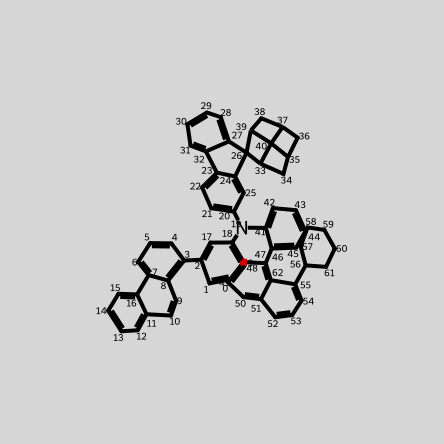 c1cc(-c2cccc3c2ccc2ccccc23)cc(N(c2ccc3c(c2)C2(c4ccccc4-3)C3CC4CC5CC2C453)c2ccccc2-c2cccc3cccc(C4CCCCC4)c23)c1